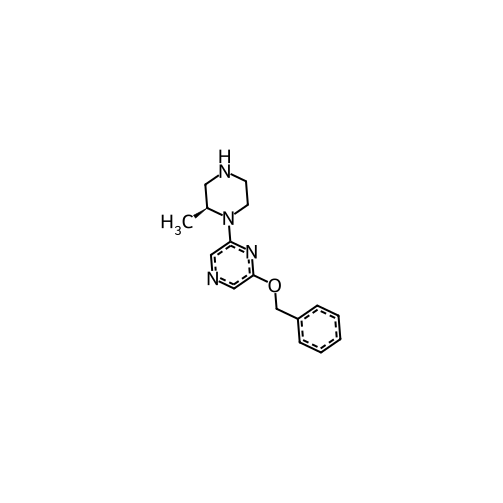 C[C@H]1CNCCN1c1cncc(OCc2ccccc2)n1